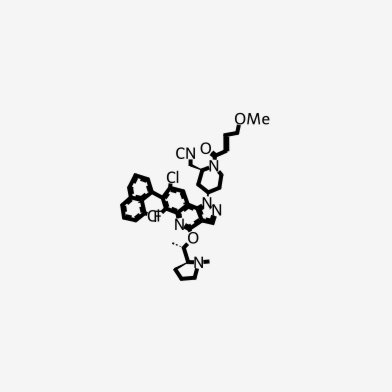 COC/C=C/C(=O)N1CC[C@H](n2ncc3c(O[C@@H](C)[C@@H]4CCCN4C)nc4c(F)c(-c5cccc6cccc(Cl)c56)c(Cl)cc4c32)C[C@H]1CC#N